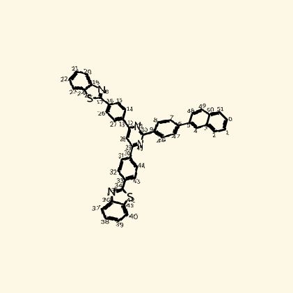 c1ccc2cc(-c3ccc(-c4nc(-c5ccc(-c6nc7ccccc7s6)cc5)cc(-c5ccc(-c6nc7ccccc7s6)cc5)n4)cc3)ccc2c1